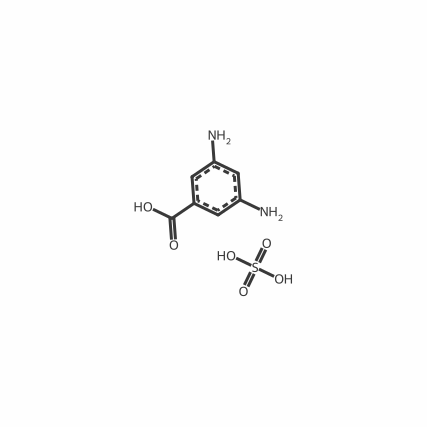 Nc1cc(N)cc(C(=O)O)c1.O=S(=O)(O)O